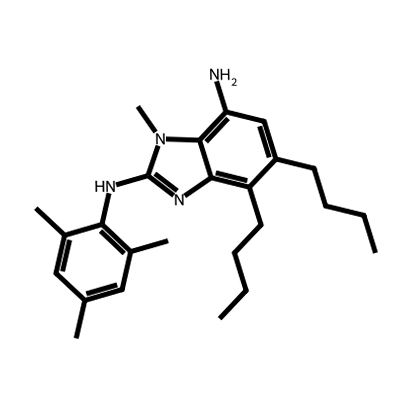 CCCCc1cc(N)c2c(nc(Nc3c(C)cc(C)cc3C)n2C)c1CCCC